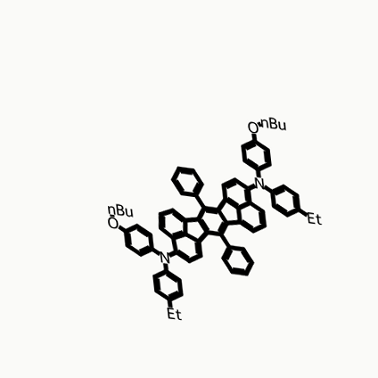 CCCCOc1ccc(N(c2ccc(CC)cc2)c2ccc3c4c(-c5ccccc5)c5c6cccc7c(N(c8ccc(CC)cc8)c8ccc(OCCCC)cc8)ccc(c5c(-c5ccccc5)c4c4cccc2c43)c76)cc1